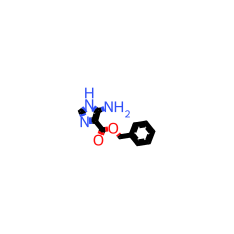 Nc1[nH]cnc1C(=O)OCc1ccccc1